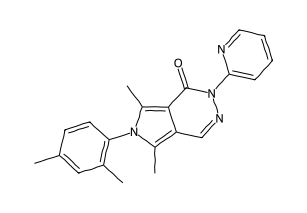 Cc1ccc(-n2c(C)c3cnn(-c4ccccn4)c(=O)c3c2C)c(C)c1